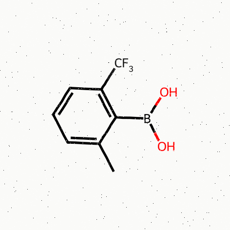 Cc1cccc(C(F)(F)F)c1B(O)O